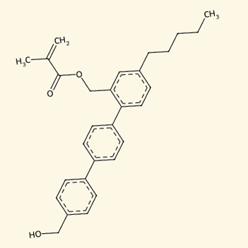 C=C(C)C(=O)OCc1cc(CCCCC)ccc1-c1ccc(-c2ccc(CO)cc2)cc1